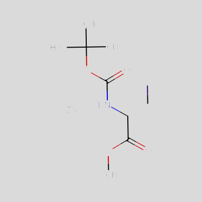 COC(=O)[C@@H](CI)NC(=O)OC(C)(C)C.[Zn]